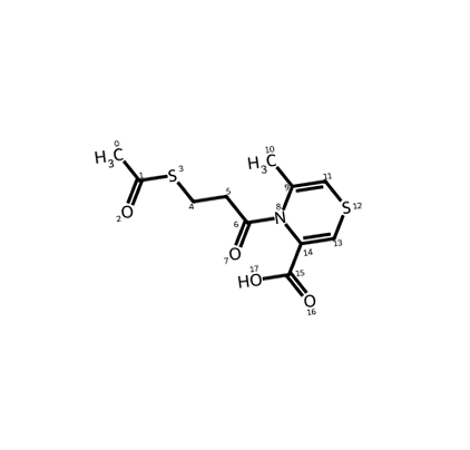 CC(=O)SCCC(=O)N1C(C)=CSC=C1C(=O)O